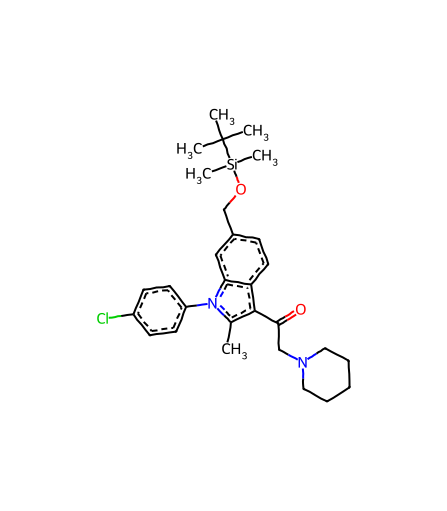 Cc1c(C(=O)CN2CCCCC2)c2ccc(CO[Si](C)(C)C(C)(C)C)cc2n1-c1ccc(Cl)cc1